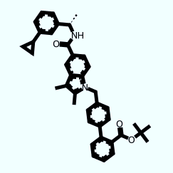 Cc1c(C)n(Cc2ccc(-c3ccccc3C(=O)OC(C)(C)C)cc2)c2ccc(C(=O)N[C@@H](C)c3cccc(C4CC4)c3)cc12